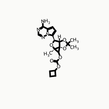 CC1(C)O[C@H]2[C@H](c3ccc4c(N)ncnn34)O[C@]3(C)C(OC(=O)OC4CCC4)[C@]23O1